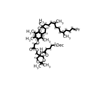 CCCCCCCCCCCCCC(=O)NC1(COC(=O)COc2c(C)c(C)c3c(c2C)CCC(C)(CCCC(C)CCCC(C)CCCC(C)C)O3)COC(C)(C)OC1